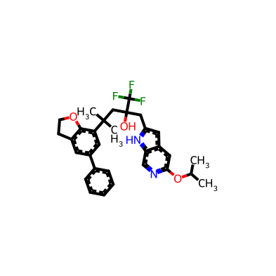 CC(C)Oc1cc2cc(CC(O)(CC(C)(C)c3cc(-c4ccccc4)cc4c3OCC4)C(F)(F)F)[nH]c2cn1